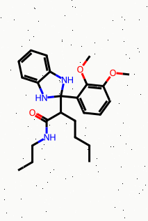 CCCCC(C(=O)NCCC)C1(c2cccc(OC)c2OC)Nc2ccccc2N1